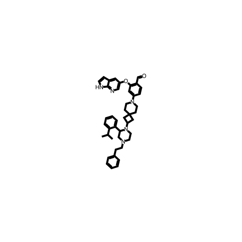 CC(C)c1ccccc1C1CN(CCc2ccccc2)CCN1C1CC2(CCN(c3ccc(C=O)c(Oc4cnc5[nH]ccc5c4)c3)CC2)C1